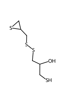 OC(CS)CSSCC1CS1